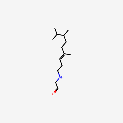 C/C(=C\CCNCC=O)CCC(C)C(C)C